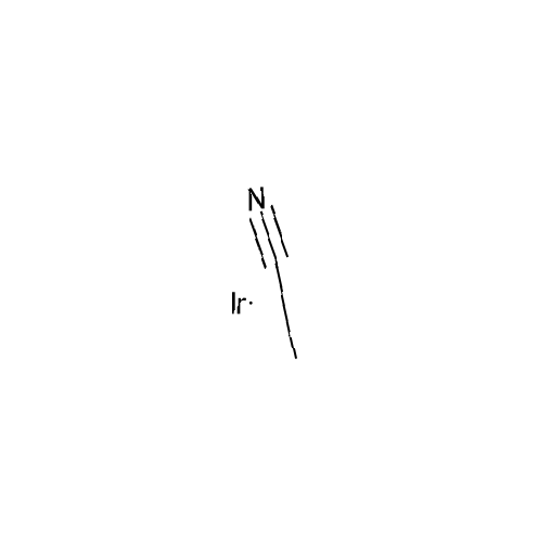 CC#N.[Ir]